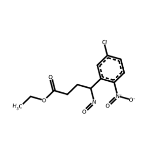 CCOC(=O)CCC(N=O)c1cc(Cl)ccc1[N+](=O)[O-]